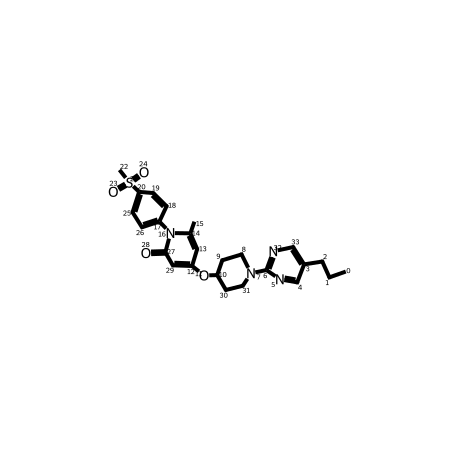 CCCc1cnc(N2CCC(Oc3cc(C)n(-c4ccc(S(C)(=O)=O)cc4)c(=O)c3)CC2)nc1